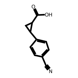 N#Cc1ccc(C2CC2C(=O)O)cc1